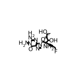 C[C@H](O)[C@H]1O[C@@H](n2cnc3c(=O)n(N)c(N)nc32)[C@@](N)(C#CCF)C1O